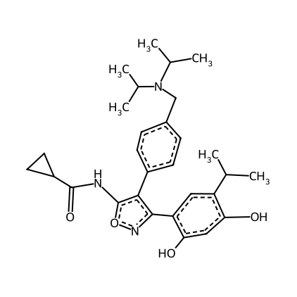 CC(C)c1cc(-c2noc(NC(=O)C3CC3)c2-c2ccc(CN(C(C)C)C(C)C)cc2)c(O)cc1O